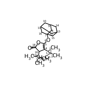 C[Si](C)(C)C1=C(OC23CC4CC(CC(C4)C2)C3)OC(=O)C1[Si](C)(C)C